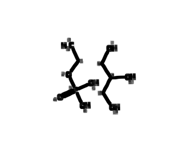 CCOP(=O)(O)O.OCC(O)CO